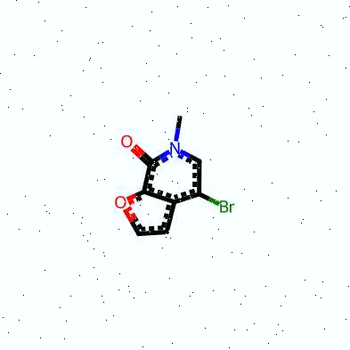 Cn1cc(Br)c2ccoc2c1=O